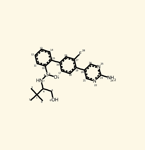 CC(C)(C)C(CO)N[S+]([O-])c1ccccc1-c1ccc(-c2cnc(N)nc2)c(F)c1